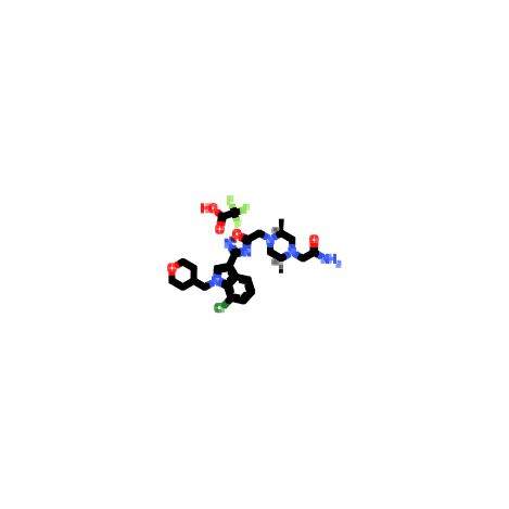 C[C@@H]1CN(Cc2nc(-c3cn(CC4CCOCC4)c4c(Cl)cccc34)no2)[C@@H](C)CN1CC(N)=O.O=C(O)C(F)(F)F